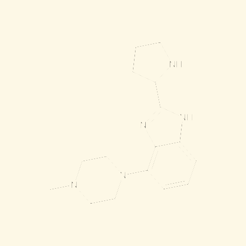 CN1CCN(c2cccc3[nH]c(C4CCCN4)nc23)CC1